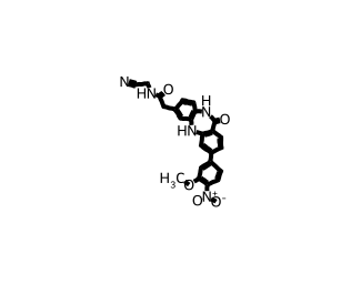 COc1cc(-c2ccc3c(c2)Nc2cc(CC(=O)NCC#N)ccc2NC3=O)ccc1[N+](=O)[O-]